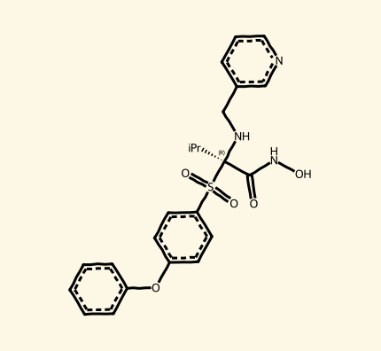 CC(C)[C@](NCc1cccnc1)(C(=O)NO)S(=O)(=O)c1ccc(Oc2ccccc2)cc1